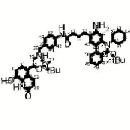 CC(C)(C)OC(=O)N(c1cc(N)c(CCCC(=O)Nc2ccc(CNC[C@H](O[Si](C)(C)C(C)(C)C)c3ccc(O)c4[nH]c(=O)ccc34)cc2)cc1-c1ccccc1)C1CCCCC1